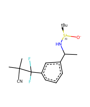 CC(N[S@+]([O-])C(C)(C)C)c1cccc(C(F)(F)C(C)(C)C#N)c1